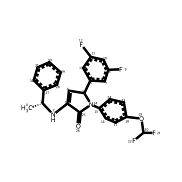 C[C@@H](NC1=CC(c2cc(F)cc(F)c2)N(c2ccc(OC(F)F)cc2)C1=O)c1ccccc1